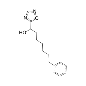 OC(CCCCCCc1ccccc1)c1ncno1